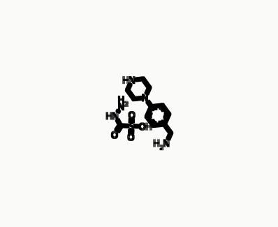 NCc1ccc(N2CCNCC2)cc1.NNC(=O)S(=O)(=O)O